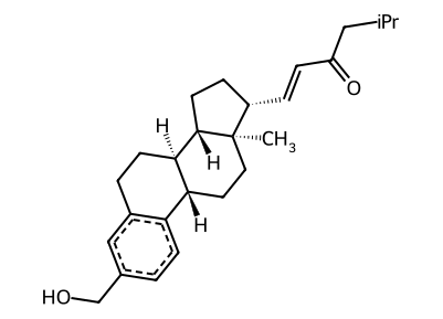 CC(C)CC(=O)C=C[C@H]1CC[C@H]2[C@@H]3CCc4cc(CO)ccc4[C@H]3CC[C@]12C